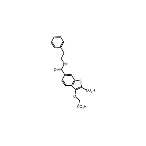 O=C(O)COc1c(C(=O)O)sc2cc(C(=O)NCCc3ccccc3)ccc12